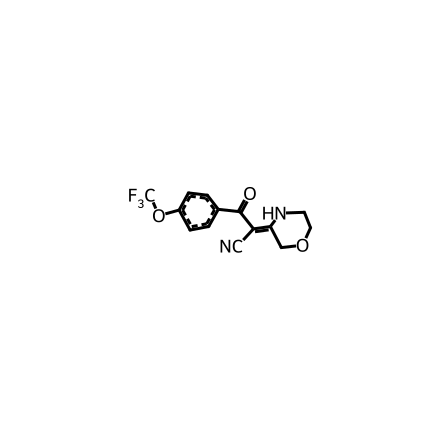 N#C/C(C(=O)c1ccc(OC(F)(F)F)cc1)=C1\COCCN1